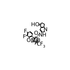 COc1c([C@H]2[C@H](C(=O)Nc3cnc4c(c3)[C@@H](O)CC4)O[C@@](C)(C(F)(F)F)[C@H]2C)ccc(F)c1F